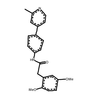 COc1ccc(OC)c(CC(=O)Nc2ccc(-c3ccnc(C)c3)cc2)c1